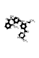 CCOc1cc(C(=O)N2CCN[C@H](C)C2)ccc1Nc1cc2c(cn1)N(C)C(=O)c1ccccc1N2C